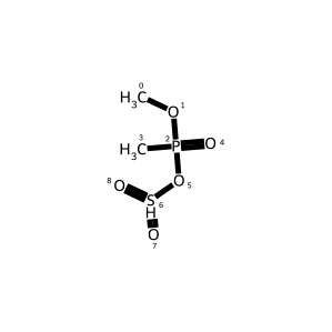 COP(C)(=O)O[SH](=O)=O